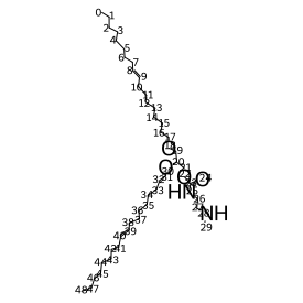 CCCCCCCCC=CCCCCCCCCOCC(COC(=O)NCCNC)OCCCCCCCCC=CCCCCCCCC